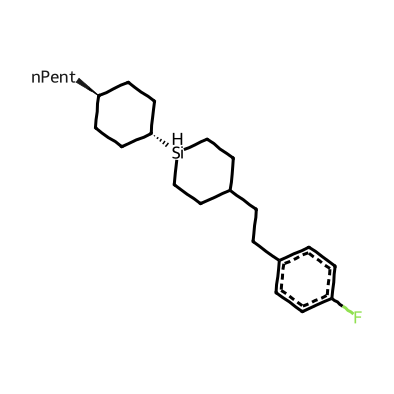 CCCCC[C@H]1CC[C@H]([SiH]2CCC(CCc3ccc(F)cc3)CC2)CC1